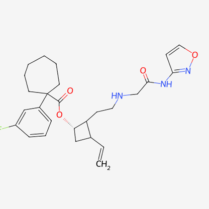 C=CC1C[C@H](OC(=O)C2(c3cccc(F)c3)CCCCCC2)C1CCNCC(=O)Nc1ccon1